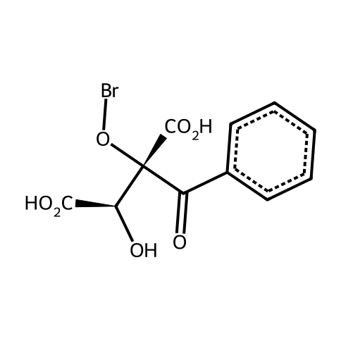 O=C(O)[C@H](O)[C@@](OBr)(C(=O)O)C(=O)c1ccccc1